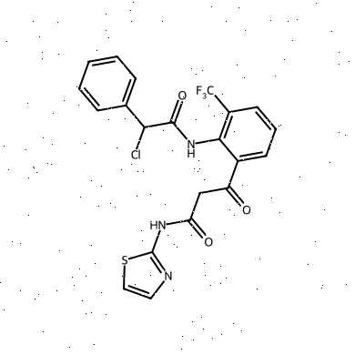 O=C(CC(=O)c1cccc(C(F)(F)F)c1NC(=O)C(Cl)c1ccccc1)Nc1nccs1